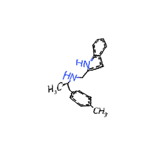 Cc1ccc([C@@H](C)NCc2cc3ccccc3[nH]2)cc1